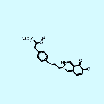 CCOC(=O)C(Cc1ccc(OCCN2C=C3C=CC(Cl)C(=O)C3=CN2)cc1)OCC